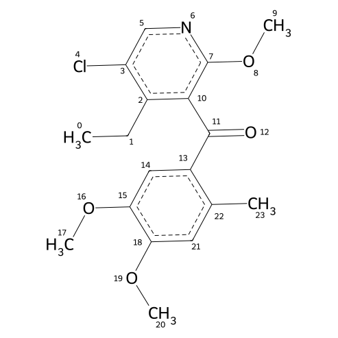 CCc1c(Cl)cnc(OC)c1C(=O)c1cc(OC)c(OC)cc1C